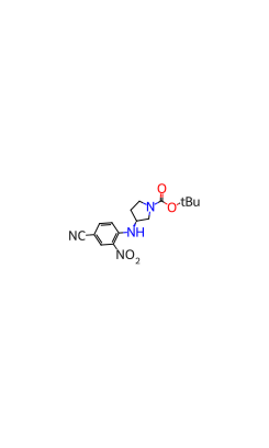 CC(C)(C)OC(=O)N1CC[C@H](Nc2ccc(C#N)cc2[N+](=O)[O-])C1